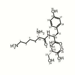 NCCCC[C@H](N)C(=O)N[C@@H](Cc1ccc(O)cc1)C(=O)N[C@@H](CO)C(=O)O